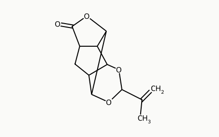 C=C(C)C1OC2C3CC4C(=O)OC2C4C3O1